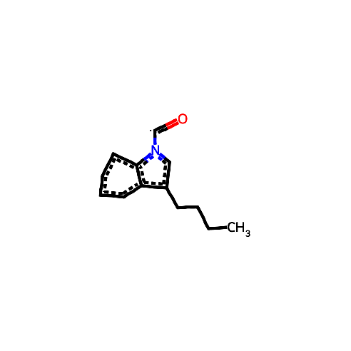 CCCCc1cn([C]=O)c2ccccc12